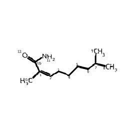 CC(=CCCCCC(C)C)C(N)=O